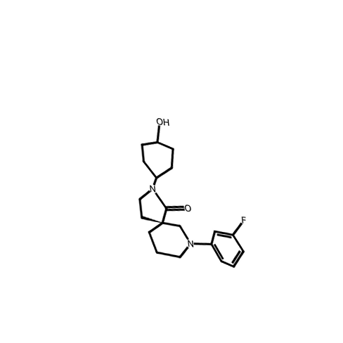 O=C1N(C2CCC(O)CC2)CC[C@@]12CCCN(c1cccc(F)c1)C2